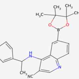 CC(Nc1c(C#N)cnc2ccc(B3OC(C)(C)C(C)(C)O3)cc12)c1ccccc1